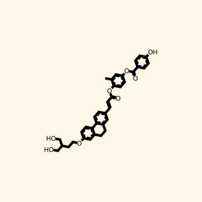 Cc1cc(OC(=O)c2ccc(O)cc2)ccc1OC(=O)/C=C/c1ccc2c(c1)CCc1cc(OCCC(CO)CO)ccc1-2